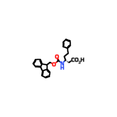 O=C(O)C[C@@H](CCc1ccccc1)NC(=O)OCC1c2ccccc2-c2ccccc21